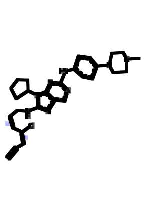 C#C/C=C(Cl)\C=C/CNc1nc2cnc(Nc3ccc(N4CCN(C)CC4)cc3)nc2n1C1CCCC1